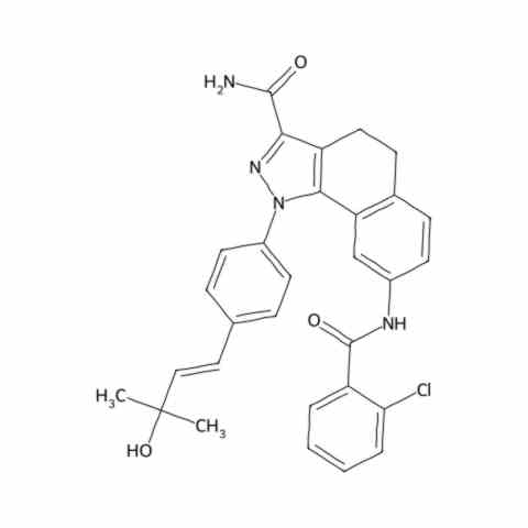 CC(C)(O)/C=C/c1ccc(-n2nc(C(N)=O)c3c2-c2cc(NC(=O)c4ccccc4Cl)ccc2CC3)cc1